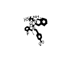 COC(=O)c1ccc(CN(C(=O)[C@@H]2Cc3ccccc3CN2C(=O)C(N)C(C)(C)S)[C@H](C)c2ccccc2F)cc1